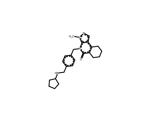 Cn1ncc2c3c(c(=O)n(Cc4ccc(CNC5CCCC5)cc4)c21)CCCC3